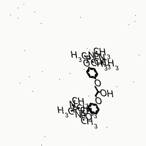 CN=P(C)(C)N=P(C)(C)Oc1ccc(OCC(O)COc2ccc(OP(C)(C)=NP(C)(C)=NC)cc2)cc1